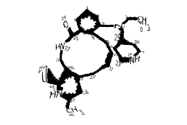 CCN(c1cccc2c1C/C=C\Cc1cc(C)[nH]c(=O)c1CNC2=O)C1CCNCC1